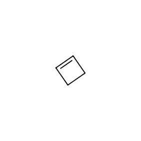 C1=CCC1